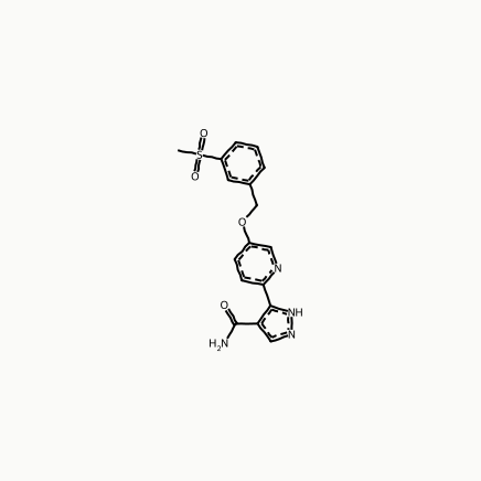 CS(=O)(=O)c1cccc(COc2ccc(-c3[nH]ncc3C(N)=O)nc2)c1